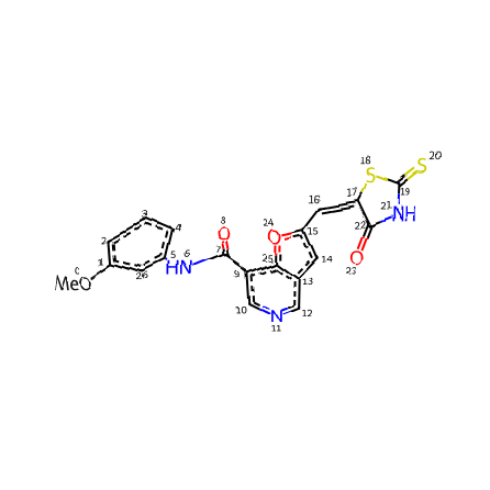 COc1cccc(NC(=O)c2cncc3cc(C=C4SC(=S)NC4=O)oc23)c1